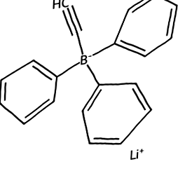 C#C[B-](c1ccccc1)(c1ccccc1)c1ccccc1.[Li+]